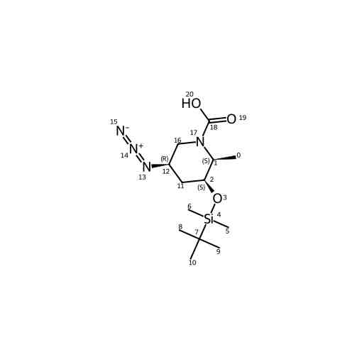 C[C@H]1[C@@H](O[Si](C)(C)C(C)(C)C)C[C@@H](N=[N+]=[N-])CN1C(=O)O